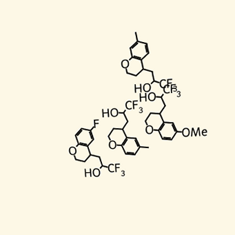 COc1ccc2c(c1)C(CC(O)C(F)(F)F)CCO2.Cc1ccc2c(c1)C(CC(O)C(F)(F)F)CCO2.Cc1ccc2c(c1)OCCC2CC(O)C(F)(F)F.OC(CC1CCOc2ccc(F)cc21)C(F)(F)F